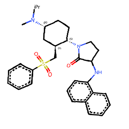 CC(C)N(C)[C@@H]1CC[C@H](N2CCC(Nc3cccc4ccccc34)C2=O)[C@@H](CS(=O)(=O)c2ccccc2)C1